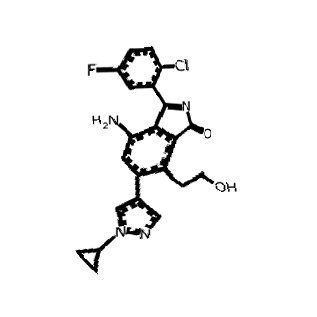 Nc1cc(-c2cnn(C3CC3)c2)c(CCO)c2c1C(c1cc(F)ccc1Cl)=NC2=O